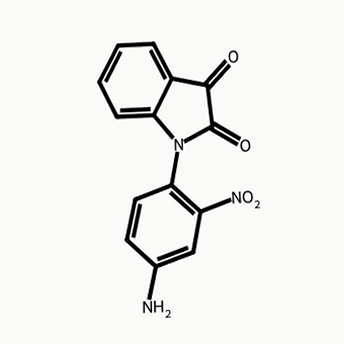 Nc1ccc(N2C(=O)C(=O)c3ccccc32)c([N+](=O)[O-])c1